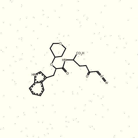 [N-]=[N+]=CC(=O)CCC(NC(=O)C(Cc1c[nH]c2ccccc12)OC1CCOCC1)C(=O)O